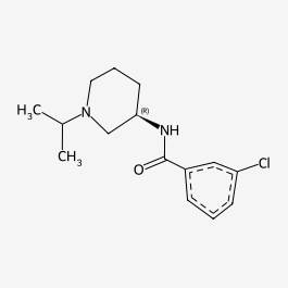 CC(C)N1CCC[C@@H](NC(=O)c2cccc(Cl)c2)C1